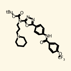 CC(C)(C)OC(=O)N(CCCN1CCCCC1)c1nnc(-c2ccc(NC(=O)c3ccc(OC(F)(F)F)cc3)cc2)o1